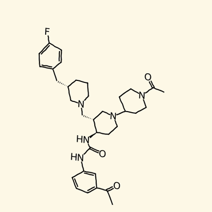 CC(=O)c1cccc(NC(=O)N[C@@H]2CCN(C3CCN(C(C)=O)CC3)C[C@H]2CN2CCC[C@@H](Cc3ccc(F)cc3)C2)c1